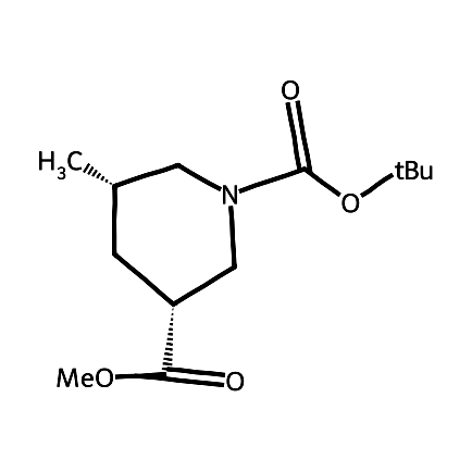 COC(=O)[C@@H]1C[C@H](C)CN(C(=O)OC(C)(C)C)C1